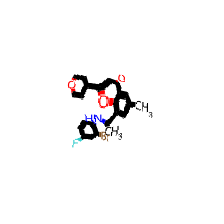 Cc1cc(C(C)Nc2ccc(F)cc2Br)c2oc(C3CCOCC3)cc(=O)c2c1